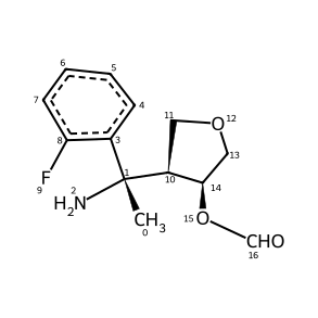 C[C@@](N)(c1ccccc1F)[C@H]1COC[C@H]1OC=O